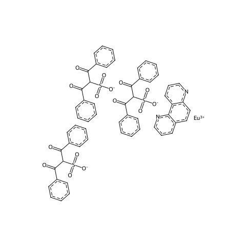 O=C(c1ccccc1)C(C(=O)c1ccccc1)S(=O)(=O)[O-].O=C(c1ccccc1)C(C(=O)c1ccccc1)S(=O)(=O)[O-].O=C(c1ccccc1)C(C(=O)c1ccccc1)S(=O)(=O)[O-].[Eu+3].c1cnc2c(c1)ccc1ncccc12